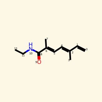 C=C/C(C)=C/C=C(\C)C(=O)NCC